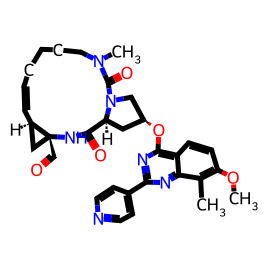 COc1ccc2c(O[C@@H]3C[C@H]4C(=O)N[C@]5(C=O)C[C@H]5/C=C\CCCCN(C)C(=O)N4C3)nc(-c3ccncc3)nc2c1C